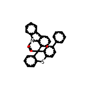 c1ccc(-c2ccc3c(c2)C2(c4ccccc4S3)c3ccccc3-n3c4ccccc4c4cccc2c43)cc1